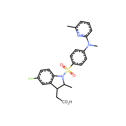 Cc1cccc(N(C)c2ccc(S(=O)(=O)N3c4ccc(F)cc4C(CC(=O)O)C3C)cc2)n1